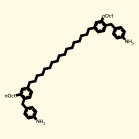 CCCCCCCCc1cc(CCCCCCCCCCCCCCCCCc2ccc(Cc3ccc(N)cc3)c(CCCCCCCC)c2)ccc1Cc1ccc(N)cc1